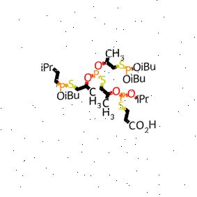 CC(C)CCP(OCC(C)C)SCC(C)OP(OC(C)CSP(OCC(C)C)OCC(C)C)SCC(C)OP(OC(C)C)SCCC(=O)O